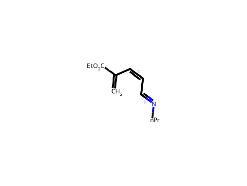 C=C(/C=C\C=N\CCC)C(=O)OCC